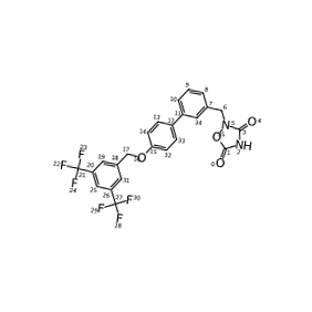 O=c1[nH]c(=O)n(Cc2cccc(-c3ccc(OCc4cc(C(F)(F)F)cc(C(F)(F)F)c4)cc3)c2)o1